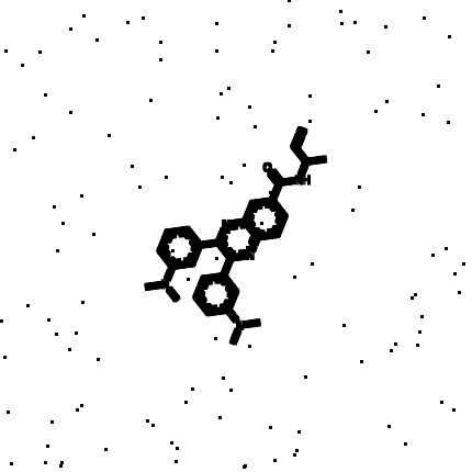 C=CC(C)NC(=O)c1ccc2nc(-c3cccc(N(C)C)c3)c(-c3cccc(N(C)C)c3)nc2c1